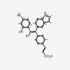 CCC(=C(c1ccc(C=CC(=O)O)cc1)c1ccc2[nH]ncc2c1)c1ccc(C#N)cc1Cl